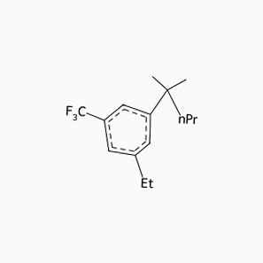 CCCC(C)(C)c1cc(CC)cc(C(F)(F)F)c1